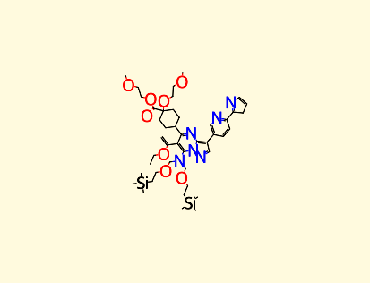 C=C(OCC)c1c(C2CCC(OCCOC)(C(=O)OCCOC)CC2)nc2c(-c3ccc(C4=NC=CC4)nc3)cnn2c1N(COCC[Si](C)(C)C)COCC[Si](C)(C)C